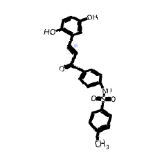 Cc1ccc(S(=O)(=O)Nc2ccc(C(=O)/C=C/c3cc(O)ccc3O)cc2)cc1